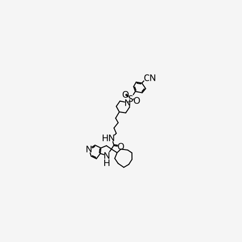 N#Cc1ccc(S(=O)(=O)N2CCC(CCCCNC(=O)C3(C4CCCCCCCC4)Cc4cnccc4N3)CC2)cc1